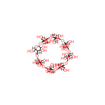 OC[C@H]1OC2O[C@H]3[C@H](O)C(O)C(OC4[C@@H](CO)OC(O[C@H]5[C@H](O)C(O)C(OC6[C@@H](CO)OC(O[C@H]7[C@H](O)C(O)C(OC8[C@@H](CO)OC(O[C@H]9[C@H](O)C(O)C(OC1[C@H](O)[C@H]2O)O[C@@H]9CO)[C@H](O)[C@H]8O)O[C@@H]7CO)[C@H](O)[C@H]6O)O[C@@H]5CO)[C@H](O)[C@H]4O)O[C@@H]3CO